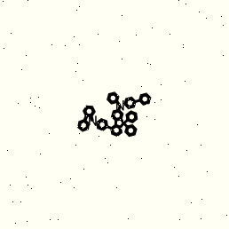 c1ccc(-c2ccc(N(c3ccccc3)c3ccc4c(c3)C(c3ccccc3)(c3ccccc3)c3cccc(-c5ccc(-n6c7ccccc7c7ccccc76)cc5)c3-4)cc2)cc1